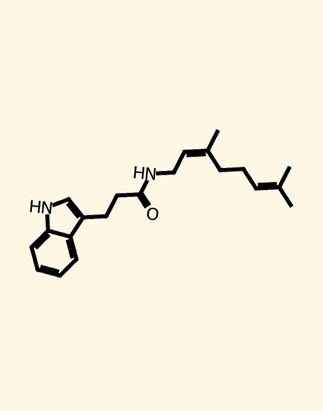 CC(C)=CCCC(C)=CCNC(=O)CCc1c[nH]c2ccccc12